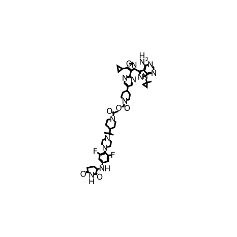 CC(C)(C1CCN(C(=O)COC(=O)N2CCC(c3cnc(-c4c(-c5nn(C6(C)CC6)c6ncnc(N)c56)noc4C4CC4)nc3)CC2)CC1)N1CCN(c2c(F)cc(NC3CCC(=O)NC3=O)cc2F)CC1